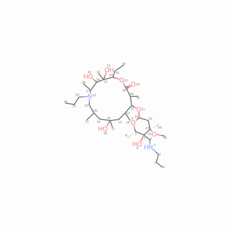 CCCNC[C@]1(O)[C@H](C)O[C@@H](OC2C(C)CC(C)(O)CC(C)CN(CCC)C(C)C(O)C(C)(O)C(CC)OC(=O)C2C)C[C@@]1(C)OC